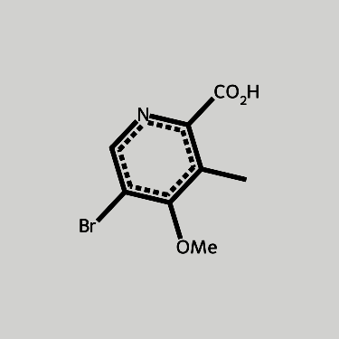 COc1c(Br)cnc(C(=O)O)c1C